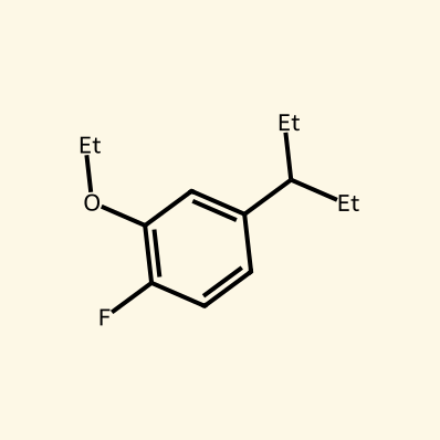 CCOc1cc(C(CC)CC)ccc1F